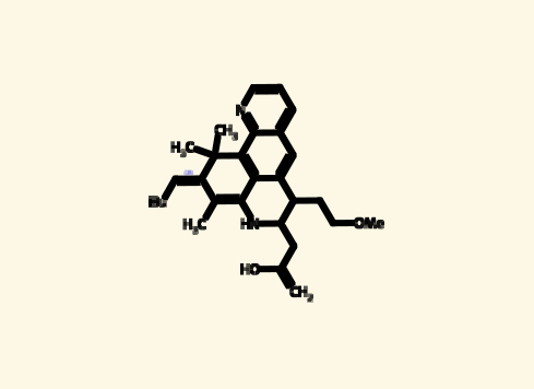 C=C(O)CC1NC2=C(C)/C(=C\C(C)CC)C(C)(C)c3c2c(cc2cccnc32)C1CCOC